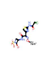 CC(C)ON=C(C(=O)NC1CN(S(=O)(=O)[O-])C1=O)c1csc(NC(=O)CCl)n1.[Na+]